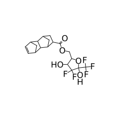 O=C(OCC1OC(O)(C(F)(F)F)C(F)(F)C1O)C1CC2CC1C1C3C=CC(C3)C21